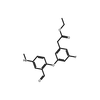 CBc1ccc(Oc2cc(F)cc(CC(=O)OCC)c2)c(C=O)c1